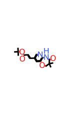 CC(C)(C)OC(=O)/C=C/c1cnc2c(c1)OCC(C)(C)C(=O)N2